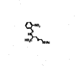 CC(=O)NCSCC(NSc1ccccc1[N+](=O)[O-])C(=O)O